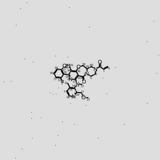 C=CC(=O)N1CCN2C(=O)c3c(N(C)c4c(C)ccnc4COC)nc(-c4c(O)cccc4F)c(Cl)c3OCC2C1